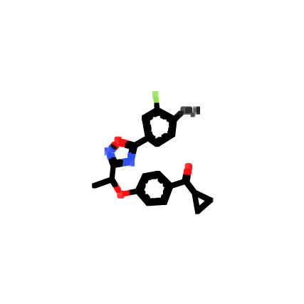 CC(Oc1ccc(C(=O)C2CC2)cc1)c1noc(-c2ccc(C(=O)O)c(F)c2)n1